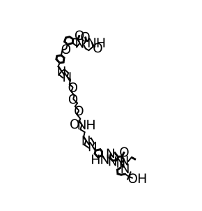 C=CCn1c(=O)c2cnc(Nc3ccc(N4CCN(CCCNC(=O)CCOCCOCCOCCN5CCN(Cc6ccc(COc7cccc8c7CN(C7CCC(=O)NC7=O)C8=O)cc6)CC5)CC4)cc3)nc2n1-c1cccc(C(C)(C)O)n1